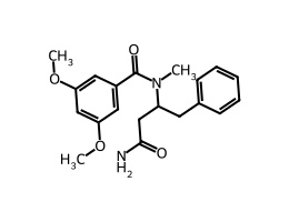 COc1cc(OC)cc(C(=O)N(C)C(CC(N)=O)Cc2ccccc2)c1